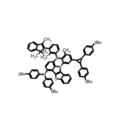 CC1=C(c2cccc(B3c4c(C)cc(C5C(c6ccc(C(C)(C)C)cc6)C5c5ccc(C(C)(C)C)cc5)cc4-n4c5c3ccc(N(c3ccc(C(C)(C)C)cc3)c3ccc(C(C)(C)C)cc3)c5c3sc5ccccc5c34)c2C)C(C)(C)c2ccccc21